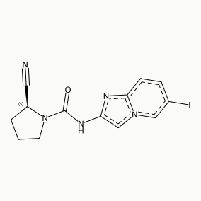 N#C[C@@H]1CCCN1C(=O)Nc1cn2cc(I)ccc2n1